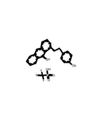 N#Cc1ccc(CCc2cccc3cc4ccccc4c(S)c23)cc1.O=S(=O)(O)C(F)(F)F